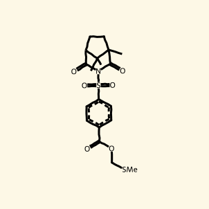 CSCOC(=O)c1ccc(S(=O)(=O)N2C(=O)C3CCC(C)(C2=O)C3(C)C)cc1